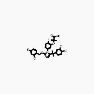 CC(C)(Oc1cc(-n2c(C(C)(C)c3ccc(Cl)c(Cl)c3)cnc2SCc2ccc(F)cc2Cl)ccc1F)C(=O)O